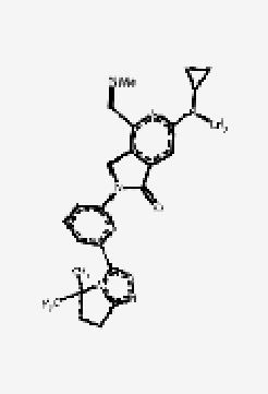 CNCc1nc(N(C)C2CC2)cc2c1CN(c1cccc(-c3nnc4n3C(C)(C)CC4)n1)C2=O